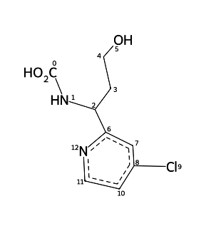 O=C(O)NC(CCO)c1cc(Cl)ccn1